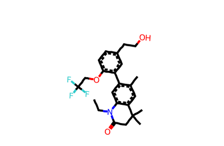 CCN1C(=O)CC(C)(C)c2cc(C)c(-c3cc(CCO)ccc3OCC(F)(F)F)cc21